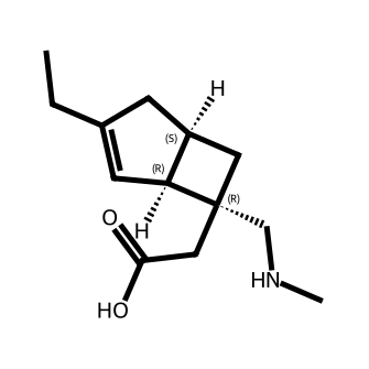 CCC1=C[C@H]2[C@@H](C1)C[C@@]2(CNC)CC(=O)O